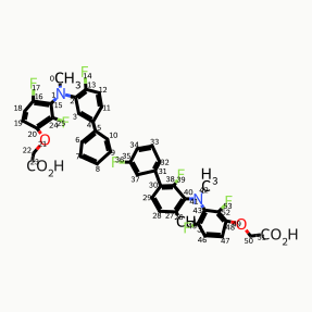 CN(c1cc(-c2ccccc2)ccc1F)c1c(F)ccc(OCC(=O)O)c1F.Cc1ccc(-c2cccc(F)c2)c(F)c1N(C)c1c(F)ccc(OCC(=O)O)c1F